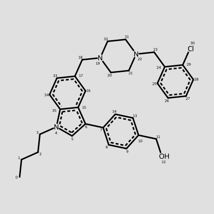 CCCCn1cc(-c2ccc(CO)cc2)c2cc(CN3CCN(Cc4ccccc4Cl)CC3)ccc21